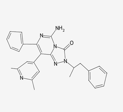 Cc1cc(-c2c(-c3ccccc3)nc(N)n3c(=O)n(C(C)Cc4ccccc4)nc23)cc(C)n1